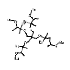 CCC(C)OC(C)CC(C)(CC)OCC(COC(C)(CC)C(C)OC(C)CC)(COC(C)(CC)C(C)OC(C)CC)COC(C)(CC)C(C)OC(C)CC